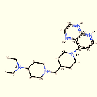 CCN(CC)C1CCN(CC2CCN(c3ccnc4nccnc34)CC2)CC1